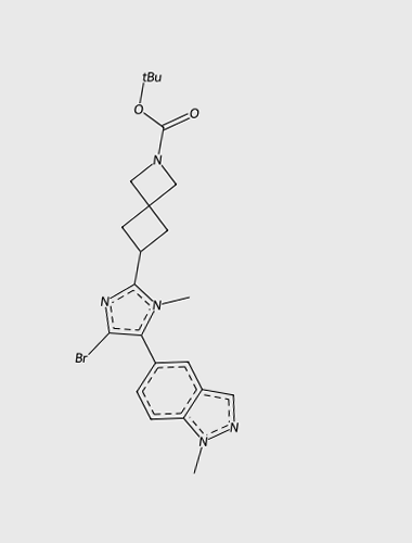 Cn1c(C2CC3(C2)CN(C(=O)OC(C)(C)C)C3)nc(Br)c1-c1ccc2c(cnn2C)c1